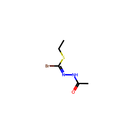 CCS/C(Br)=N\NC(C)=O